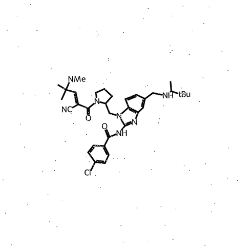 CNC(C)(C)C=C(C#N)C(=O)N1CCCC1Cn1c(NC(=O)c2ccc(Cl)cc2)nc2cc(CNC(C)C(C)(C)C)ccc21